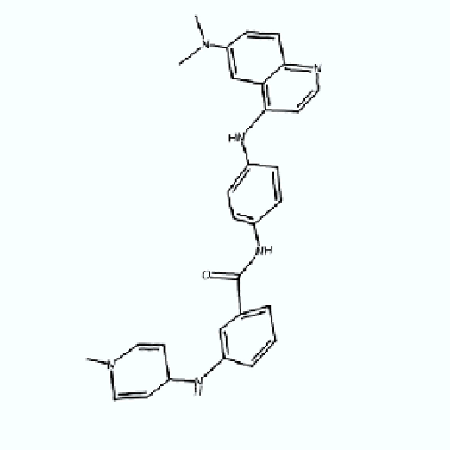 CN1C=CC(Nc2cccc(C(=O)Nc3ccc(Nc4ccnc5ccc(N(C)C)cc45)cc3)c2)C=C1